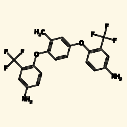 Cc1cc(Oc2ccc(N)cc2C(F)(F)F)ccc1Oc1ccc(N)cc1C(F)(F)F